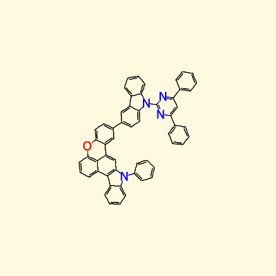 c1ccc(-c2cc(-c3ccccc3)nc(-n3c4ccccc4c4cc(-c5ccc6c(c5)-c5cc7c(c8cccc(c58)O6)c5ccccc5n7-c5ccccc5)ccc43)n2)cc1